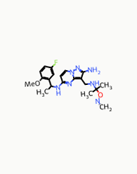 C=NOC(C)(C)NCc1c(N)nn2ccc(NC(C)c3cc(F)ccc3OC)nc12